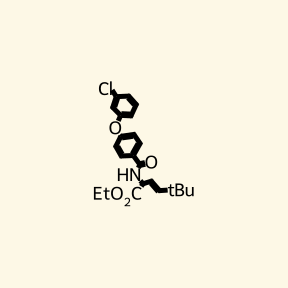 CCOC(=O)C(C=CC(C)(C)C)NC(=O)c1ccc(Oc2cccc(Cl)c2)cc1